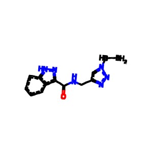 BBn1cc(CNC(=O)c2n[nH]c3ccccc23)nn1